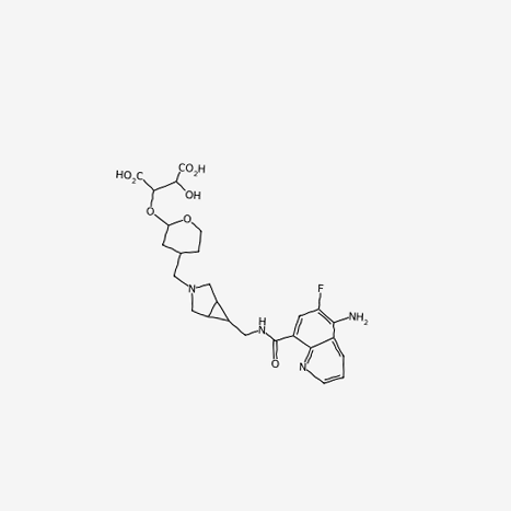 Nc1c(F)cc(C(=O)NCC2C3CN(CC4CCOC(OC(C(=O)O)C(O)C(=O)O)C4)CC23)c2ncccc12